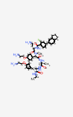 C[C@@H]1NC(=O)[C@@H](N(C)C(=O)[C@H](CCN)NC(=O)c2ccc(-c3ccc4c(c3)CCCC4)cc2F)c2ccc(OCCN)c(c2)-c2cc(ccc2OCCN)C[C@@H](C(=O)NCC#N)NC1=O